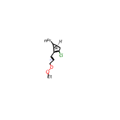 CCCC1C2C(/C=C/COOCC)=C(Cl)C[C@H]12